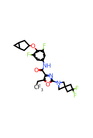 O=C(Nc1cc(F)c(OC2CC3CC3C2)c(F)c1)c1nc(N2CC3(C2)CC(F)(F)C3)oc1CC(F)(F)F